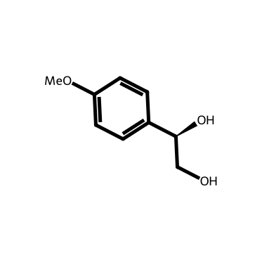 COc1ccc([C@@H](O)CO)cc1